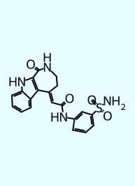 NS(=O)(=O)c1cccc(NC(=O)C=C2CCNC(=O)c3[nH]c4ccccc4c32)c1